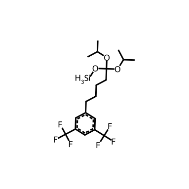 CC(C)OC(CCCCc1cc(C(F)(F)F)cc(C(F)(F)F)c1)(O[SiH3])OC(C)C